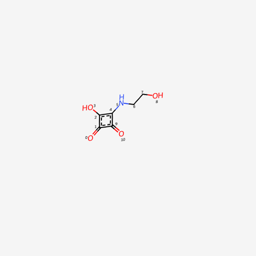 O=c1c(O)c(NCCO)c1=O